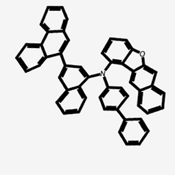 c1ccc(-c2ccc(N(c3cc(-c4cc5ccccc5c5ccccc45)cc4ccccc34)c3cccc4oc5cc6ccccc6cc5c34)cc2)cc1